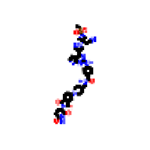 CCS(=O)(=O)N1CC(CC#N)(n2cc(-c3nc(Nc4ccc(C(=O)NCC5CCN(c6ccc7c(c6)C(=O)N(C6CCC(=O)NC6=O)C7=O)CC5)cc4)nc4[nH]ccc34)cn2)C1